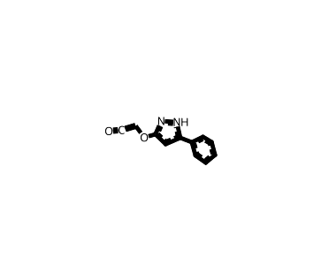 O=C=COc1cc(-c2ccccc2)[nH]n1